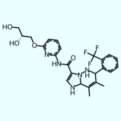 CC1=C(C)C2NC=C(C(=O)Nc3cccc(OC[C@H](O)CO)n3)N2NC1c1ccccc1C(F)(F)F